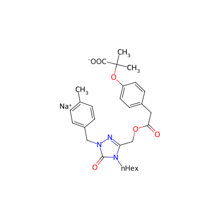 CCCCCCn1c(COC(=O)Cc2ccc(OC(C)(C)C(=O)[O-])cc2)nn(Cc2ccc(C)cc2)c1=O.[Na+]